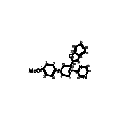 COc1ccc(N2CCN(c3cnccn3)C(c3cc4ccccc4o3)C2)cc1